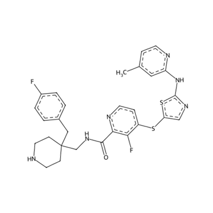 Cc1ccnc(Nc2ncc(Sc3ccnc(C(=O)NCC4(Cc5ccc(F)cc5)CCNCC4)c3F)s2)c1